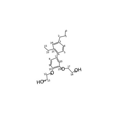 CCCc1ccc(-c2ccc(OCCO)c(OCCO)c2)c(CC)c1